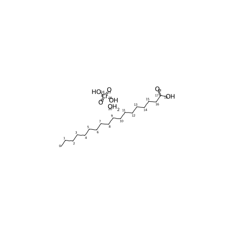 CCCCCCCCCCCCCCCCCC(=O)O.O.[O]=[Cr](=[O])([OH])[OH]